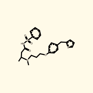 CC(CC(=O)NS(=O)(=O)c1ccccc1)N(C)CCCOc1ccc(Cc2cccs2)cc1